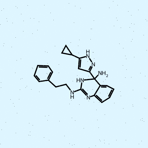 NC1(c2cc(C3CC3)[nH]n2)NC(NCCc2ccccc2)=Nc2ccccc21